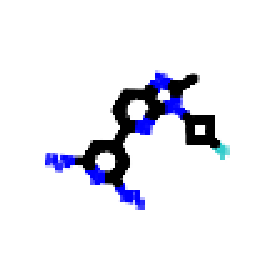 Cc1nc2ccc(-c3cc(N)nc(N)c3)nc2n1C1CC(F)C1